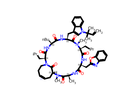 C=CC(C)(C)n1cc(C[C@@H]2NC(=O)[C@H](CCCC)NC(=O)[C@H](CC(C)C)N3CC/C=C\C[C@@H](C3=O)N(C)C(=O)[C@H](C)NC(=O)[C@H](Cc3nc4ccccc4o3)NC(=O)[C@H](CC(C)C)N(C)C2=O)c2ccccc21